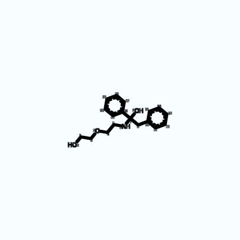 OCCOCCNC(O)(Cc1ccccc1)c1ccccc1